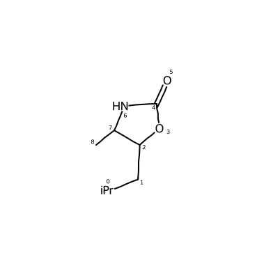 CC(C)CC1OC(=O)NC1C